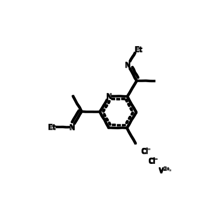 CCN=C(C)c1cc(C)cc(C(C)=NCC)n1.[Cl-].[Cl-].[V+2]